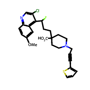 COc1ccc2ncc(Cl)c(C(F)CCC3(C(=O)O)CCN(CC#Cc4cccs4)CC3)c2c1